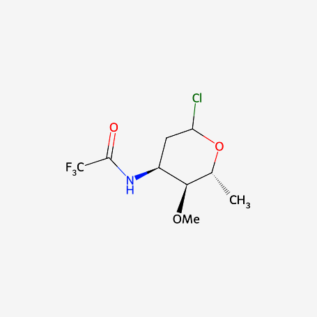 CO[C@H]1[C@@H](NC(=O)C(F)(F)F)CC(Cl)O[C@@H]1C